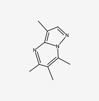 Cc1nc2c(C)cnn2c(C)c1C